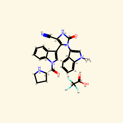 Cn1cc(-n2c(-c3cn(C(=O)[C@@H]4CCCN4)c4ccccc34)c(C#N)[nH]c2=O)c2ccccc21.O=C(O)C(F)(F)F